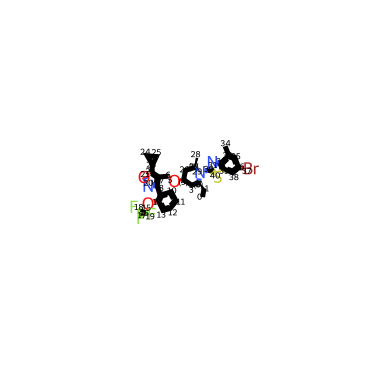 CC[C@H]1C[C@@H](OCc2c(-c3ccccc3OC(F)(F)F)noc2C2CC2)C[C@@H](C)N1c1nc2c(C)cc(Br)cc2s1